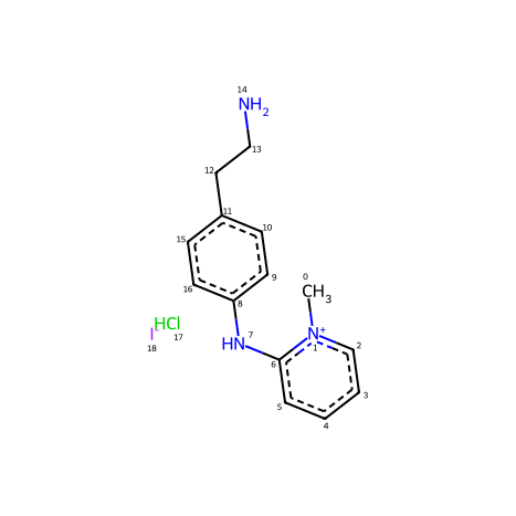 C[n+]1ccccc1Nc1ccc(CCN)cc1.Cl.[I-]